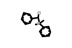 C[Si](C)(c1ccccc1)C(Cl)c1ccccc1